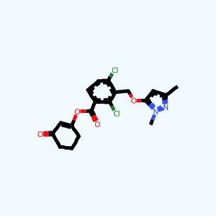 Cc1cc(OCc2c(Cl)ccc(C(=O)OC3=CC(=O)CCC3)c2Cl)n(C)n1